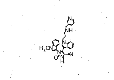 Cn1cc(-n2c(-c3cn(CCCNCc4cccnc4)c4ccccc34)c(C#N)[nH]c2=O)c2ccccc21